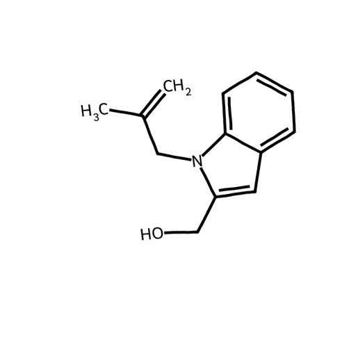 C=C(C)Cn1c(CO)cc2ccccc21